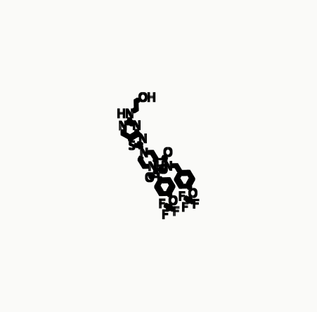 O=C(NCc1ccc(OC(F)(F)F)cc1)[C@H]1CN(c2nc3nc(NCCO)ncc3s2)CCN1S(=O)(=O)c1ccc(OC(F)(F)F)cc1